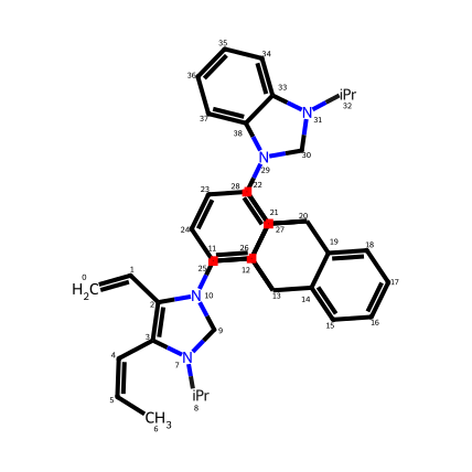 C=CC1=C(/C=C\C)N(C(C)C)CN1CC1C2c3ccccc3C(c3ccccc32)C1CN1CN(C(C)C)c2ccccc21